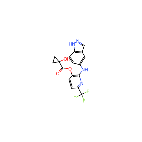 O=C(Oc1ccc(C(F)(F)F)nc1Nc1ccc2[nH]ncc2c1)C1(O)CC1